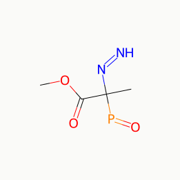 COC(=O)C(C)(N=N)P=O